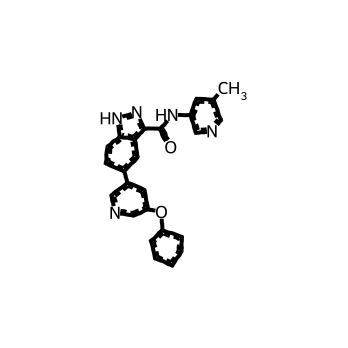 Cc1cncc(NC(=O)c2n[nH]c3ccc(-c4cncc(Oc5ccccc5)c4)cc23)c1